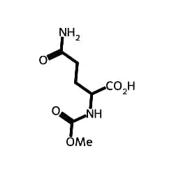 COC(=O)NC(CCC(N)=O)C(=O)O